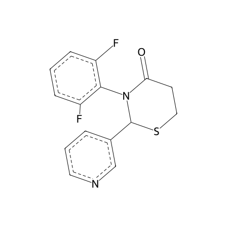 O=C1CCSC(c2cccnc2)N1c1c(F)cccc1F